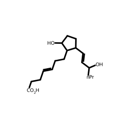 CCCC(O)C=CC1CCC(O)C1CCC=CCCC(=O)O